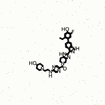 CCc1cc(O)c(F)cc1-c1ccc2c(-c3nc4c([nH]3)CCN(C(=O)c3cnc(NCCN5CCC(O)CC5)cn3)C4)n[nH]c2c1